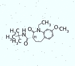 CCN1C(=O)[C@@H](C(=O)NC(C)(C)C)CCc2ccc(OC)cc21